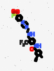 C#Cc1cc(C(=O)Nc2ccc(CNCCN3CCN(c4ccc(S(=O)(=O)F)cc4)CC3)c(C(F)(F)F)c2)ccc1C